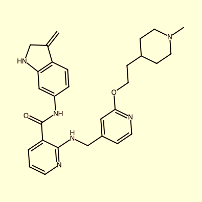 C=C1CNc2cc(NC(=O)c3cccnc3NCc3ccnc(OCCC4CCN(C)CC4)c3)ccc21